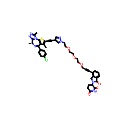 Cc1c(C#Cc2cnn(CCOCCOCCOCC#Cc3cccc4c3CN(C3CCC(=O)NC3=O)C4=O)c2)sc2c1C(c1ccc(Cl)cc1)=N[C@@H](C)c1nnc(C)n1-2